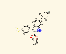 CSc1ccc(-c2c(C(=O)OC(C)(C)C)[nH]c3cc(-c4ccc(F)cc4)ccc23)cc1